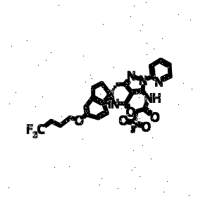 CS(=O)(=O)CC(=O)Nc1c2c(nn1-c1ccccn1)C[C@]1(CCc3cc(OCCCC(F)(F)F)ccc31)NC2=O